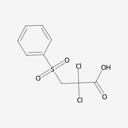 O=C(O)C(Cl)(Cl)CS(=O)(=O)c1ccccc1